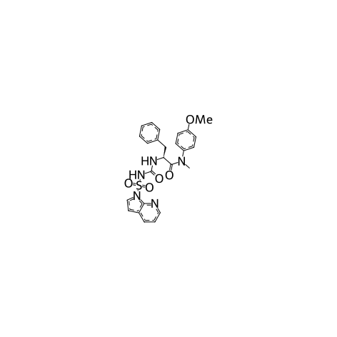 COc1ccc(N(C)C(=O)[C@H](Cc2ccccc2)NC(=O)NS(=O)(=O)n2ccc3cccnc32)cc1